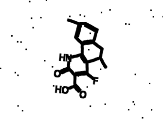 Cc1ccc2c(c1)-c1[nH]c(=O)c(C(=O)O)c(F)c1C(C)C2